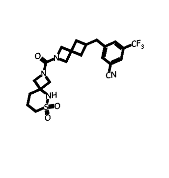 N#Cc1cc(CC2CC3(C2)CN(C(=O)N2CC4(CCCS(=O)(=O)N4)C2)C3)cc(C(F)(F)F)c1